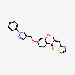 O=C1/C(=C\c2nccs2)COc2cc(OCc3cnn(-c4ccccc4)c3)ccc21